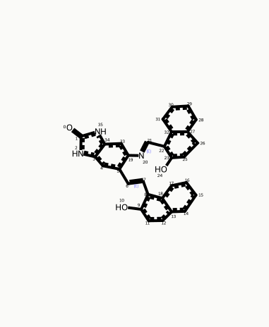 O=c1[nH]c2cc(/C=C/c3c(O)ccc4ccccc34)c(/N=C/c3c(O)ccc4ccccc34)cc2[nH]1